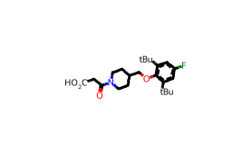 CC(C)(C)c1cc(F)cc(C(C)(C)C)c1OCC1CCN(C(=O)CC(=O)O)CC1